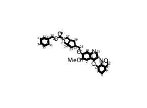 COc1cc2c(Oc3cccc(F)c3[N+](=O)[O-])ccnc2cc1OCC1C=C2CN(C(=O)OCc3ccccc3)CC2C1